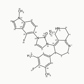 Cc1cc(C2CCN=C3CCN[C@@H](C)C3=C2n2ccn(-c3ccc4c(cnn4C)c3F)c2=O)cc(C)c1F